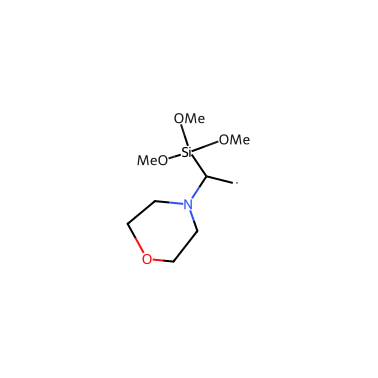 [CH2]C(N1CCOCC1)[Si](OC)(OC)OC